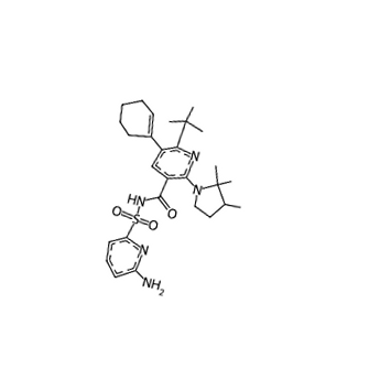 CC1CCN(c2nc(C(C)(C)C)c(C3=CCCCC3)cc2C(=O)NS(=O)(=O)c2cccc(N)n2)C1(C)C